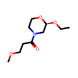 CCO[C@H]1CN(C(=O)CCOC)CCO1